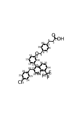 O=C(O)CCc1ccc(COc2cccc(-c3c(Cc4ccc(Cl)cc4)cnc4c(C(F)(F)F)cccc34)c2)cc1